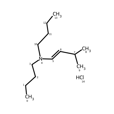 CCCCN(C=CC(C)C)CCCC.Cl